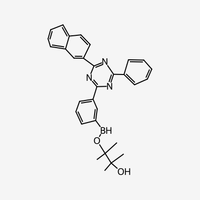 CC(C)(O)C(C)(C)OBc1cccc(-c2nc(-c3ccccc3)nc(-c3ccc4ccccc4c3)n2)c1